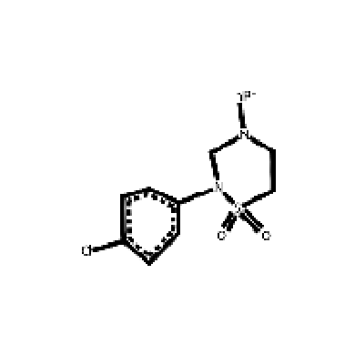 CCCN1CCS(=O)(=O)N(c2ccc(Cl)cc2)C1